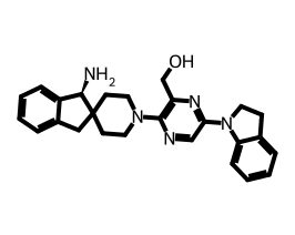 N[C@@H]1c2ccccc2CC12CCN(c1ncc(N3CCc4ccccc43)nc1CO)CC2